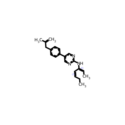 C=C(C)Cc1ccc(-c2cnc(NC(/C=C\CC)=C/C)nc2)cc1